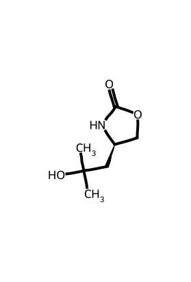 CC(C)(O)C[C@@H]1COC(=O)N1